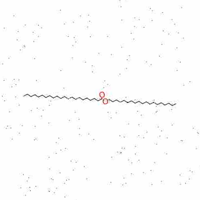 CCCCCCCCCCCCCCCCCCCCCC(=O)OCCCCCCCCCCCCCCCCCCC